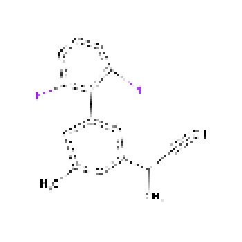 C#CC(C)c1cc(C)cc(-c2c(I)cccc2I)c1